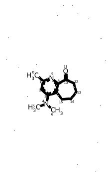 Cc1cc(N(C)C)c2c(n1)C(=O)CCCC2